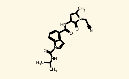 CC(C)NC(=O)n1ccc2c(C(=O)NC3CC(C)N(CC#N)C3=O)cccc21